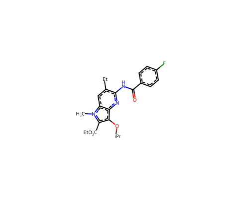 CCOC(=O)c1c(OC(C)C)c2nc(NC(=O)c3ccc(F)cc3)c(CC)cc2n1C